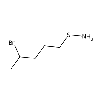 CC(Br)CCCSN